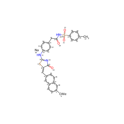 COc1ccc2cc(C=C3SC(Nc4ccc(CC(=O)NS(=O)(=O)c5ccc(C)cc5)cc4)=NC3=O)ccc2c1.[Na]